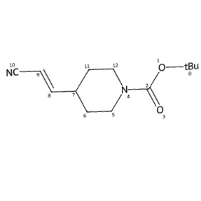 CC(C)(C)OC(=O)N1CCC(C=CC#N)CC1